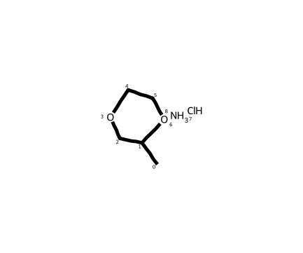 CC1COCCO1.Cl.N